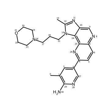 Cc1cc(-c2ccc3ncc4nc(C)n(CCCN5CCOCC5)c4c3n2)cnc1N